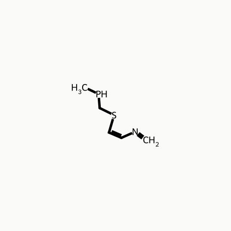 C=N/C=C\SCPC